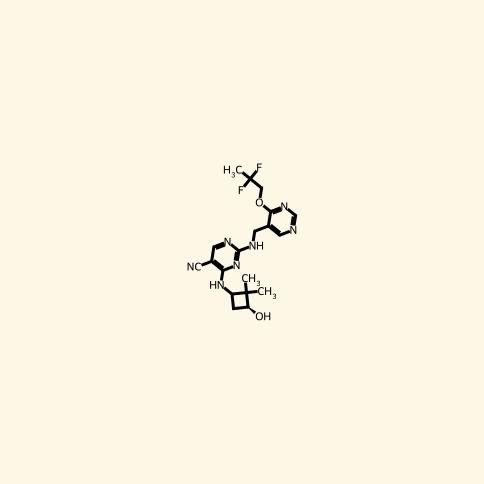 CC(F)(F)COc1ncncc1CNc1ncc(C#N)c(NC2C[C@H](O)C2(C)C)n1